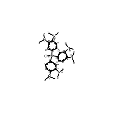 CN(C)c1ccc([Si](Cl)(c2ccc(N(C)C)c(N(C)C)c2)c2ccc(N(C)C)c(N(C)C)c2)cc1N(C)C